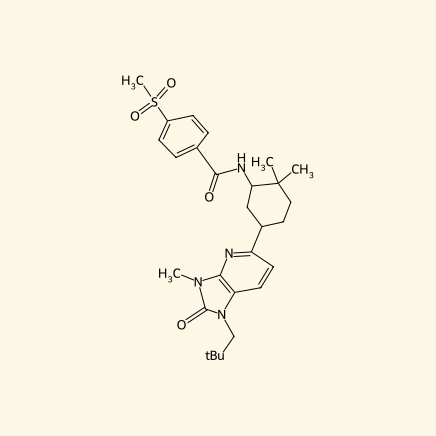 Cn1c(=O)n(CC(C)(C)C)c2ccc(C3CCC(C)(C)C(NC(=O)c4ccc(S(C)(=O)=O)cc4)C3)nc21